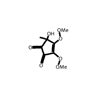 COOC1=C(OOC)C(C)(O)C(=O)C1=O